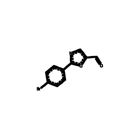 O=Cc1cnc(-c2ccc(Br)cc2)o1